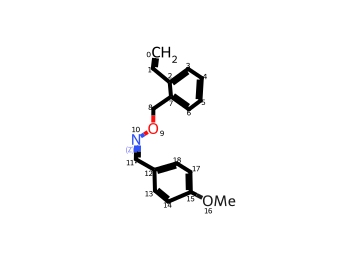 C=Cc1ccccc1CO/N=[C]\c1ccc(OC)cc1